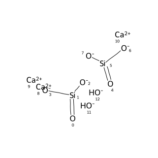 O=[Si]([O-])[O-].O=[Si]([O-])[O-].[Ca+2].[Ca+2].[Ca+2].[OH-].[OH-]